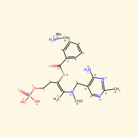 C/C(=C(\CCOP(=O)(O)O)SC(=O)c1ccccc1)N(C=O)Cc1cnc(C)nc1N.CC(=O)ON.[Mn]